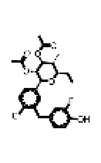 CC[C@H]1O[C@@H](c2ccc(Cl)c(Cc3ccc(O)c(F)c3)c2)[C@H](OC(C)=O)[C@@H](OC(C)=O)[C@@H]1C